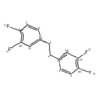 Fc1ccc(CCc2ccc(F)c(F)c2)cc1F